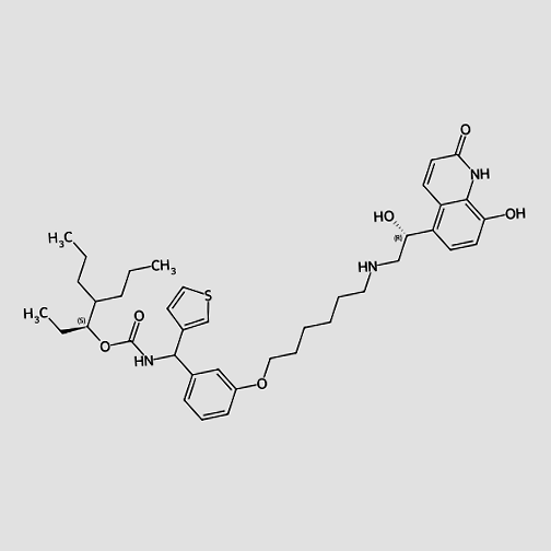 CCCC(CCC)[C@H](CC)OC(=O)NC(c1ccsc1)c1cccc(OCCCCCCNC[C@H](O)c2ccc(O)c3[nH]c(=O)ccc23)c1